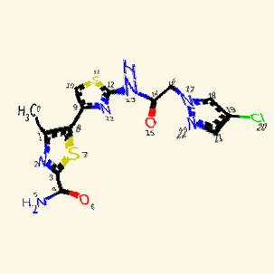 Cc1nc(C(N)=O)sc1-c1csc(NC(=O)Cn2cc(Cl)cn2)n1